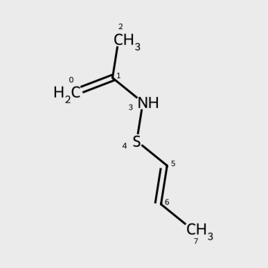 C=C(C)NS/C=C/C